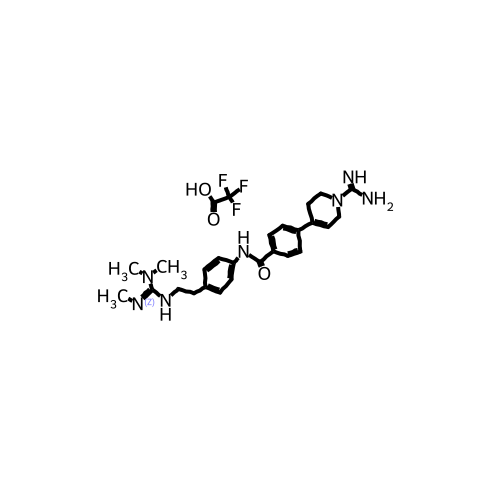 C/N=C(/NCCc1ccc(NC(=O)c2ccc(C3=CCN(C(=N)N)CC3)cc2)cc1)N(C)C.O=C(O)C(F)(F)F